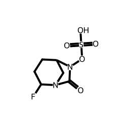 O=C1N2CC(CCC2F)N1OS(=O)(=O)O